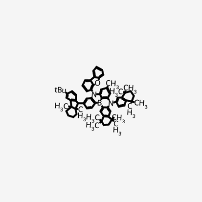 Cc1cc2c3c(c1)N(c1cccc4c1oc1ccccc14)c1cc(C4c5ccc(C(C)(C)C)cc5C5(C)CCCCC45C)ccc1B3c1cc3c(cc1N2c1ccc2c(c1)C(C)(C)CCC2(C)C)C(C)(C)CCC3(C)C